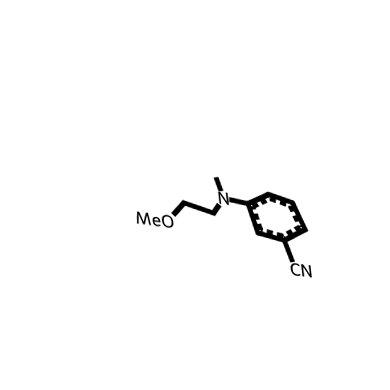 COCCN(C)c1cccc(C#N)c1